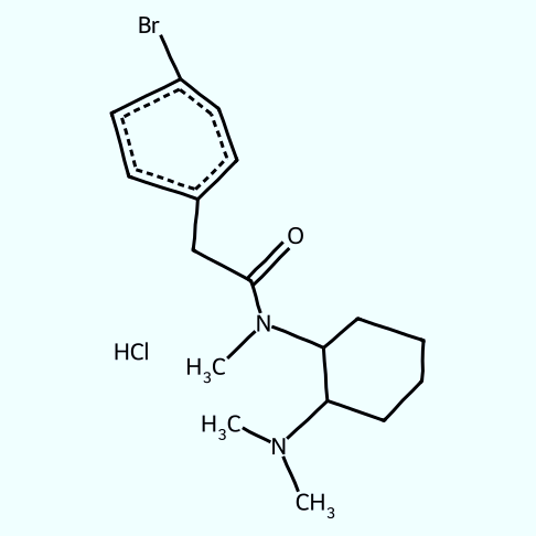 CN(C)C1CCCCC1N(C)C(=O)Cc1ccc(Br)cc1.Cl